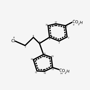 O=C(O)c1ccc(C(CCCl)c2cccc(C(=O)O)c2)cc1